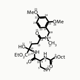 CCCCCCCCC(=O)N[C@@H](CC(C)C)C(=O)NC(O)(CCC(=O)N(C)Cc1ccc(OC)cc1OC)C(=O)OCC